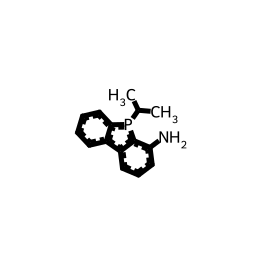 CC(C)p1c2ccccc2c2cccc(N)c21